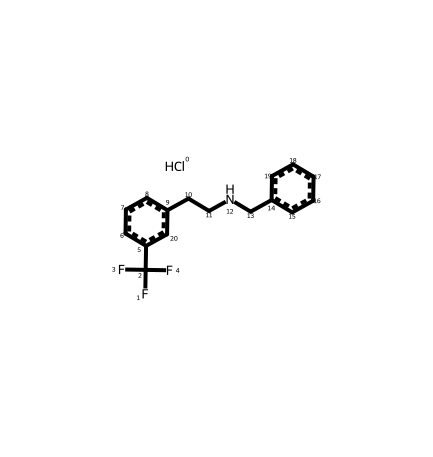 Cl.FC(F)(F)c1cccc(CCNCc2ccccc2)c1